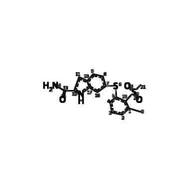 Cc1cccc(Sc2ccc3cc(C(N)=O)[nH]c3c2)c1S(C)(=O)=O